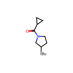 CC(C)(C)C1CCN(C(=O)C2CC2)C1